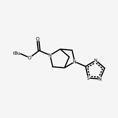 CC(C)(C)OC(=O)N1CC2CC1CN2c1ncns1